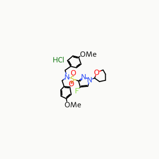 COc1ccc(CN(Cc2ccc(OC)cc2)S(=O)(=O)c2nn(C3CCCCO3)cc2F)cc1.Cl